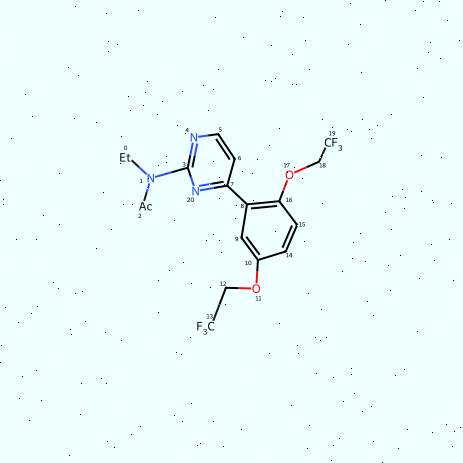 CCN(C(C)=O)c1nccc(-c2cc(OCC(F)(F)F)ccc2OCC(F)(F)F)n1